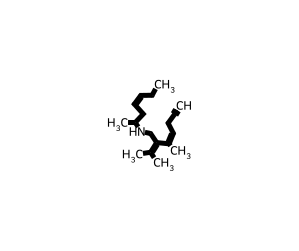 C#CC/C=C(/C)C(CNC(C)C/C=C\CC)=C(C)C